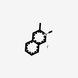 Cc1cc2ccccc2c[n+]1C.[I-]